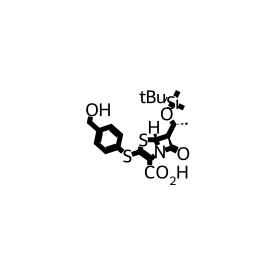 C[C@@H](O[Si](C)(C)C(C)(C)C)[C@H]1C(=O)N2C(C(=O)O)=C(Sc3ccc(CO)cc3)S[C@H]12